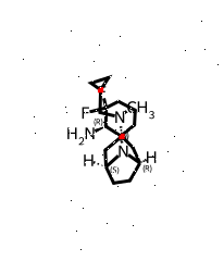 CN(CC1CC1)[C@@H]1C[C@H]2CC[C@@H](C1)N2[C@H]1CCCC(F)(F)[C@@H]1N